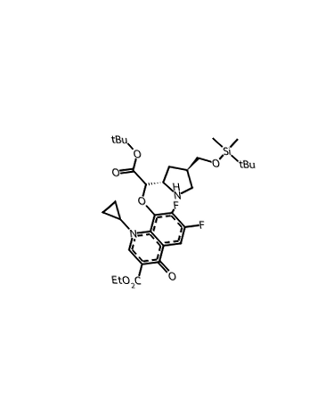 CCOC(=O)c1cn(C2CC2)c2c(OC(C(=O)OC(C)(C)C)[C@@H]3C[C@@H](CO[Si](C)(C)C(C)(C)C)CN3)c(F)c(F)cc2c1=O